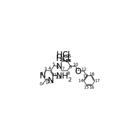 Cc1ncc(CN2CCC(COCc3ccccc3)CC2)c(N)n1.Cl.Cl